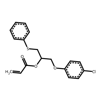 C=CC(=O)OC(COc1ccc(Cl)cc1)CSc1ccccc1